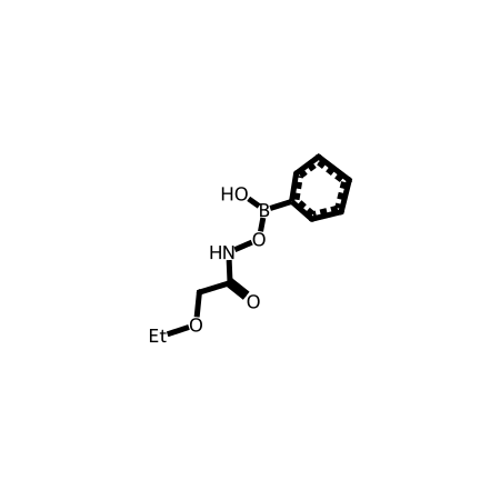 CCOCC(=O)NOB(O)c1ccccc1